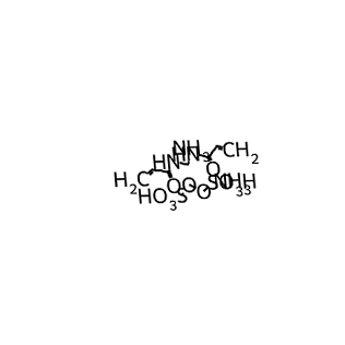 C=CC(=O)NCNC(=O)C=C.N.N.O=S(=O)(O)OOS(=O)(=O)O